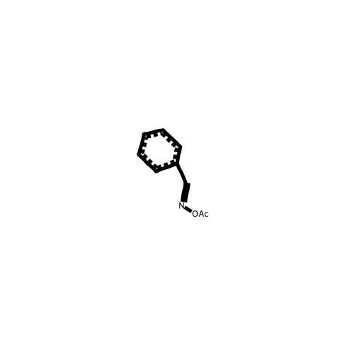 CC(=O)O/N=C/c1ccccc1